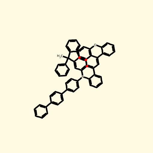 CC1(c2ccccc2)c2ccccc2-c2ccc(N(c3ccc(-c4ccc(-c5ccccc5)cc4)cc3)c3ccccc3-c3cc4c5c(cccc5c3)Oc3ccccc3-4)cc21